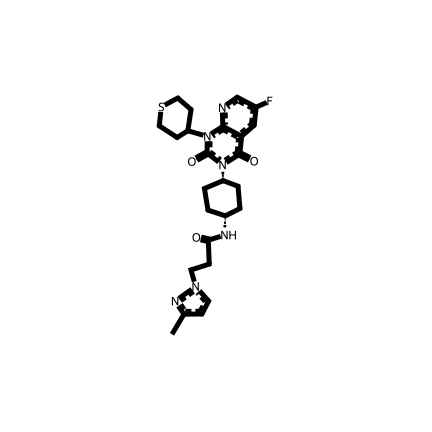 Cc1ccn(CCC(=O)N[C@H]2CC[C@@H](n3c(=O)c4cc(F)cnc4n(C4CCSCC4)c3=O)CC2)n1